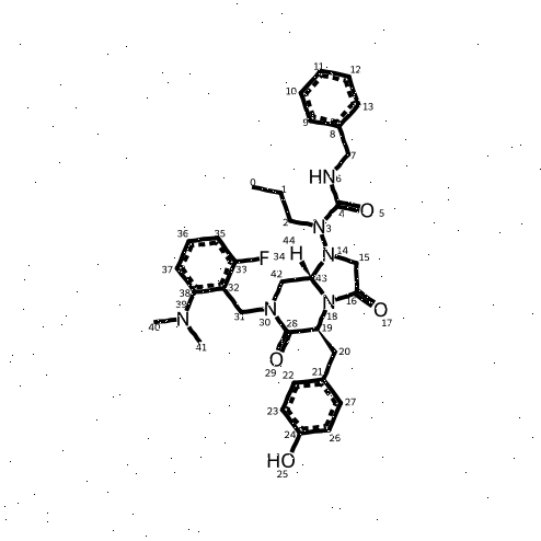 CCCN(C(=O)NCc1ccccc1)N1CC(=O)N2[C@@H](Cc3ccc(O)cc3)C(=O)N(Cc3c(F)cccc3N(C)C)C[C@@H]21